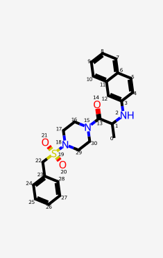 CC(Nc1ccc2ccccc2c1)C(=O)N1CCN(S(=O)(=O)Cc2ccccc2)CC1